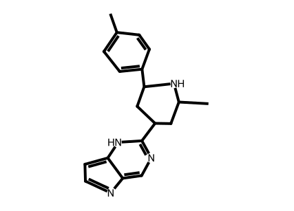 Cc1ccc(C2CC(c3ncc4nccc-4[nH]3)CC(C)N2)cc1